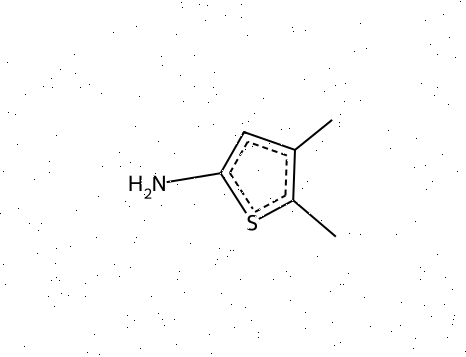 Cc1cc(N)sc1C